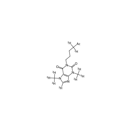 [2H]c1nc2c(c(=O)n(CCCC([2H])([2H])C(C)=O)c(=O)n2C([2H])([2H])[2H])n1C([2H])([2H])[2H]